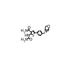 NC(=O)Nc1sc(-c2ccc(CN3CC4CC3CO4)cc2)cc1C(N)=O